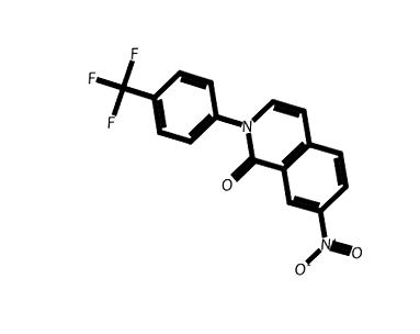 O=c1c2cc([N+](=O)[O-])ccc2ccn1-c1ccc(C(F)(F)F)cc1